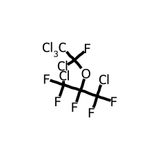 FC(F)(Cl)C(F)(OC(F)(Cl)C(Cl)(Cl)Cl)C(F)(F)Cl